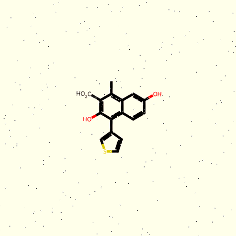 Cc1c(C(=O)O)c(O)c(-c2ccsc2)c2ccc(O)cc12